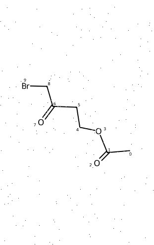 CC(=O)OCCC(=O)CBr